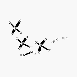 NN.O=S(=O)([O-])[O-].O=S(=O)([O-])[O-].O=S(=O)([O-])[O-].[Al+3].[K+].[Pb+2]